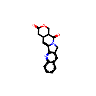 O=C1CC2C=C3c4nc5ccccc5cc4CN3C(=O)C2CO1